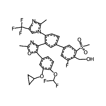 Cc1nc(-c2cc(-c3cc(F)c(CO)c(S(C)(=O)=O)c3)ccc2-n2cc(C(F)(F)F)nc2C)c(-c2ccc(OC(F)F)c(OC3CC3)c2)o1